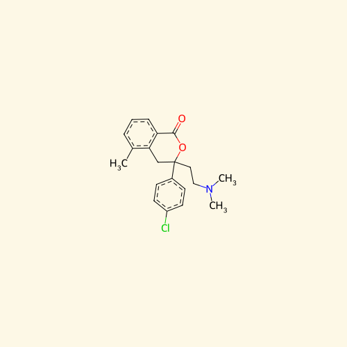 Cc1cccc2c1CC(CCN(C)C)(c1ccc(Cl)cc1)OC2=O